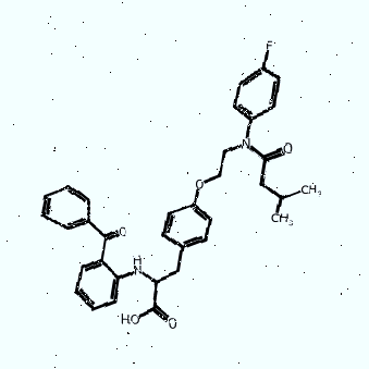 CC(C)CC(=O)N(CCOc1ccc(CC(Nc2ccccc2C(=O)c2ccccc2)C(=O)O)cc1)c1ccc(F)cc1